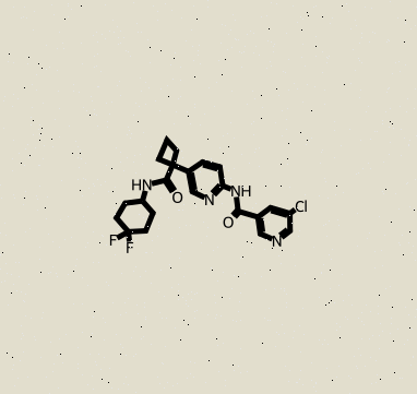 O=C(Nc1ccc(C2(C(=O)NC3CCC(F)(F)CC3)CCC2)cn1)c1cncc(Cl)c1